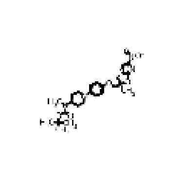 CN(C(=O)OC(C)(C)C)C1CCN(c2ccc(OC[C@@]3(C)Cn4cc([N+](=O)[O-])nc4O3)cc2)CC1